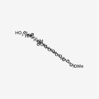 COCCOCCOCCOCCOCCOCCOCCOCCOCCOCC(=O)NCCCCCC(=O)NCCCC(=O)O